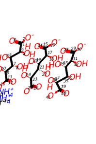 O=C([O-])[C@@H](O)[C@@H](O)[C@H](O)[C@@H](O)C(=O)[O-].O=C([O-])[C@@H](O)[C@@H](O)[C@H](O)[C@@H](O)C(=O)[O-].O=C([O-])[C@@H](O)[C@@H](O)[C@H](O)[C@@H](O)C(=O)[O-].[NH4+].[NH4+].[Zr+4]